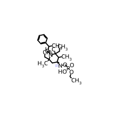 CCOP(=O)(O)O/N=C1/CC(C)(CC)N(OC(C)c2ccccc2)C(C)(CC)C1C